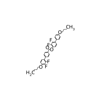 C=CCCOc1ccc(-c2ccc(C(=O)Oc3ccc(-c4ccc(OCCCC)cc4)c(F)c3F)cc2)c(F)c1F